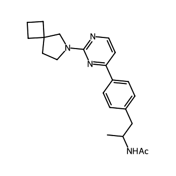 CC(=O)NC(C)Cc1ccc(-c2ccnc(N3CCC4(CCC4)C3)n2)cc1